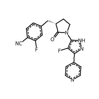 N#Cc1ccc(C[C@@H]2CCN(c3[nH]nc(-c4ccncc4)c3F)C2=O)cc1F